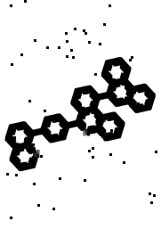 c1cnc2c(-c3ccc(-c4nc5ccccc5c5c(-c6cc7ccccc7c7ccccc67)cccc45)cc3)cccc2c1